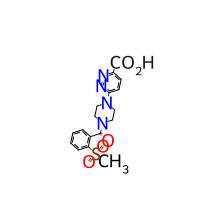 CS(=O)(=O)c1ccccc1C(=O)N1CCN(c2ccc(C(=O)O)nn2)CC1